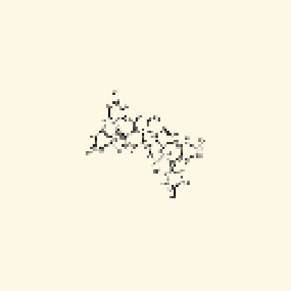 C=C/C=C\c1c(C)c(-c2cc(C)c(N(c3ccc(C)cc3)c3ccc(C)cc3)c3ccccc23)cc(C)c1N(c1ccc(C)cc1)c1ccc(C)cc1